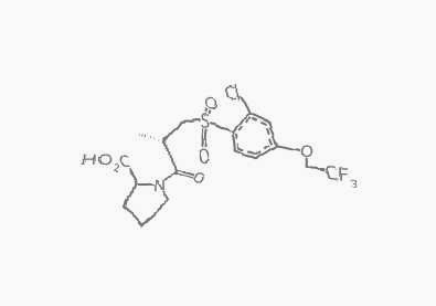 C[C@H](CS(=O)(=O)c1ccc(OCC(F)(F)F)cc1Cl)C(=O)N1CCCC1C(=O)O